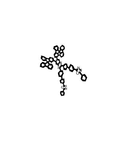 C1=CC2=C(CC1)C1(c3ccccc32)c2ccccc2-c2ccc(-c3cc4nc(-c5ccc(-c6ccc(-c7nnc(-c8ccccc8)o7)cc6)cc5)c(-c5ccc(-c6ccc(-c7nnc(-c8ccccc8)o7)cc6)cc5)nc4cc3-c3ccc4c(c3)C3(c5ccccc5-c5ccccc53)c3ccccc3-4)cc21